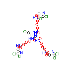 CN1Cc2c(Cl)cc(Cl)cc2[C@H](c2cccc(S(=O)(=O)NCCOCCOCCOCCNC(=O)CCC(CCC(=O)NCCOCCOCCOCCNS(=O)(=O)c3cccc([C@@H]4CN(C)Cc5c(Cl)cc(Cl)cc54)c3)(CCC(=O)NCCOCCOCCOCCNS(=O)(=O)c3cccc([C@@H]4CN(C)Cc5c(Cl)cc(Cl)cc54)c3)NCc3ccc(-c4ccc(Cl)cc4)cc3)c2)C1